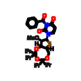 CO[C@@H]1[C@@H]2O[Si](C(C)C)(C(C)C)O[Si](C(C)C)(C(C)C)OC[C@H]2S[C@H]1n1ccc(=O)n(C(=O)c2ccccc2)c1=O